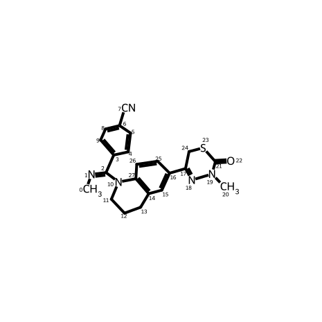 C/N=C(/c1ccc(C#N)cc1)N1CCCc2cc(C3=NN(C)C(=O)SC3)ccc21